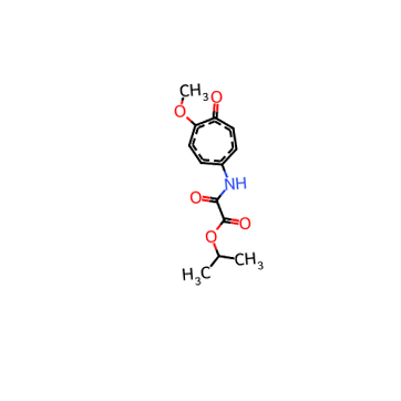 COc1ccc(NC(=O)C(=O)OC(C)C)ccc1=O